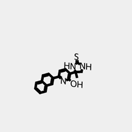 CC1(c2ccc(-c3ccc4ccccc4c3)nc2O)CNC(=S)N1